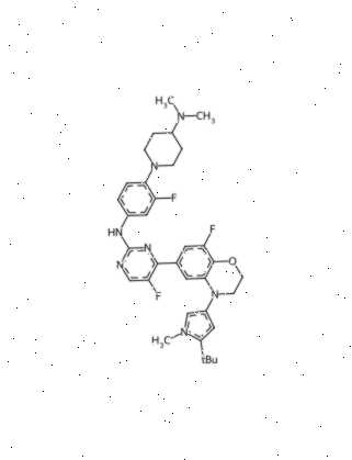 CN(C)C1CCN(c2ccc(Nc3ncc(F)c(-c4cc(F)c5c(c4)N(c4cc(C(C)(C)C)n(C)c4)CCO5)n3)cc2F)CC1